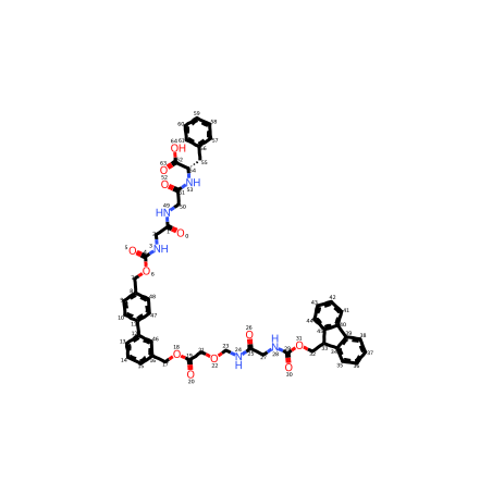 O=C(CNC(=O)OCc1ccc(-c2cccc(COC(=O)COCNC(=O)CNC(=O)OCC3c4ccccc4-c4ccccc43)c2)cc1)NCC(=O)N[C@@H](Cc1ccccc1)C(=O)O